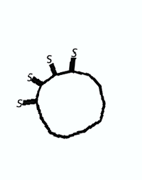 S=C1CCCCCCCCC(=S)C(=S)C1=S